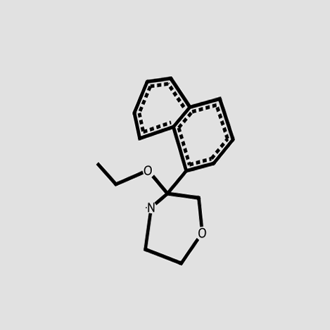 CCOC1(c2cccc3ccccc23)COCC[N]1